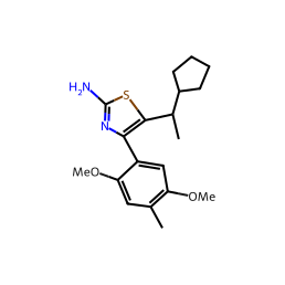 COc1cc(-c2nc(N)sc2C(C)C2CCCC2)c(OC)cc1C